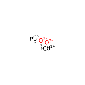 [Cd+2].[O-2].[O-2].[Pb+2]